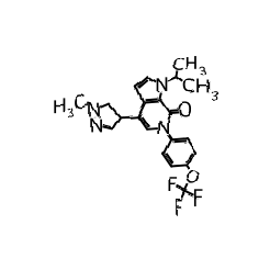 CC(C)n1ccc2c(C3C=NN(C)C3)cn(-c3ccc(OC(F)(F)F)cc3)c(=O)c21